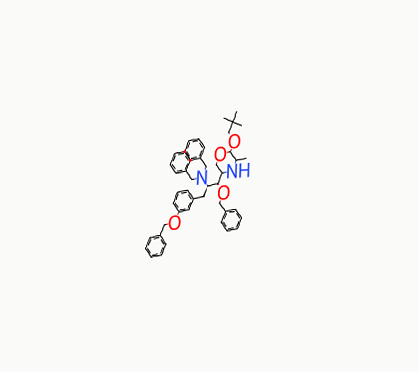 CC1NC([C@@H](OCc2ccccc2)[C@@H](Cc2cccc(OCc3ccccc3)c2)N(Cc2ccccc2)Cc2ccccc2)COC1OCC(C)(C)C